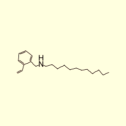 C=Cc1ccccc1CNCCCCCCCCCCCC